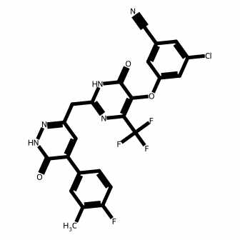 Cc1cc(-c2cc(Cc3nc(C(F)(F)F)c(Oc4cc(Cl)cc(C#N)c4)c(=O)[nH]3)n[nH]c2=O)ccc1F